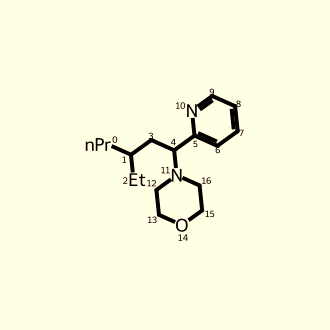 CCCC(CC)CC(c1ccccn1)N1CCOCC1